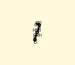 O=C(COc1ccc(Cl)cc1)N[C@H]1CC[C@H](NC(=O)COc2ccc(Cl)c([N+](=O)[O-])c2)CC1